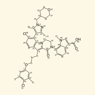 Cc1cc(OCCCc2c3n(c4c(-c5c(C)nn(CC6CCOCC6)c5C)c(Cl)ccc24)[C@H](C)CN(c2cccc4c(C(=O)O)cn(C)c24)C3=O)cc(C)c1Cl